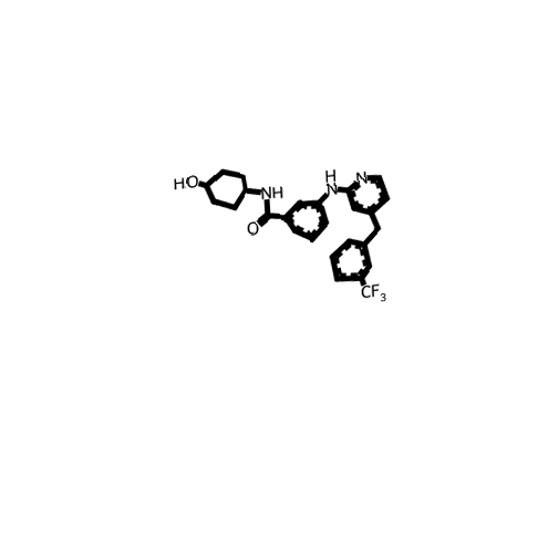 O=C(NC1CCC(O)CC1)c1cccc(Nc2cc(Cc3cccc(C(F)(F)F)c3)ccn2)c1